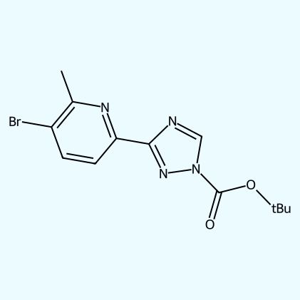 Cc1nc(-c2ncn(C(=O)OC(C)(C)C)n2)ccc1Br